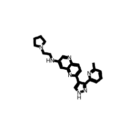 Cc1cccc(-c2n[nH]cc2-c2ccc3ncc(NCCN4CCCC4)cc3n2)n1